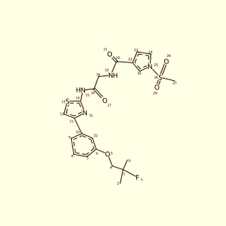 CC(C)(F)COc1cccc(-c2csc(NC(=O)CNC(=O)c3ccn(S(C)(=O)=O)c3)n2)c1